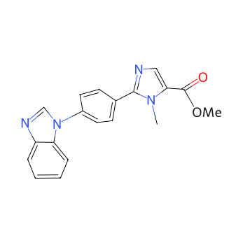 COC(=O)c1cnc(-c2ccc(-n3cnc4ccccc43)cc2)n1C